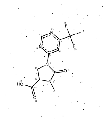 CN1C(=O)N(c2cc(C(F)(F)F)ncn2)CC1C(=O)O